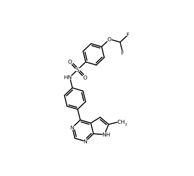 Cc1cc2c(-c3ccc(NS(=O)(=O)c4ccc(OC(F)F)cc4)cc3)ncnc2[nH]1